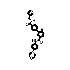 Cc1ccc(C(=O)Nc2ccc(N3CCOCC3)cc2)cc1-c1ccc(C(=O)NCc2ccsc2)cc1